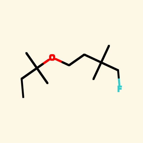 CCC(C)(C)OCCC(C)(C)CF